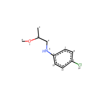 COC(C)CNc1ccc(Cl)cc1